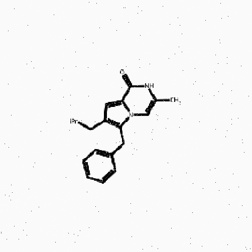 Cc1cn2c(Cc3ccccc3)c(CC(C)C)cc2c(=O)[nH]1